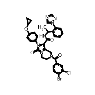 CC(NC(=O)c1c2n(c(=O)n1-c1ccc(OC3CC3)cc1)CCN(C(=O)c1ccc(Br)c(Cl)c1)C2)c1ccccc1-n1cncn1